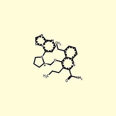 CCCc1c(C(N)=O)nc2cccc(CC)c2c1OC[C@H]1CCCN1c1ccnc2ncnn12